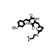 CN(C)CCSc1ccc(C=c2[nH]c(=O)c(=Cc3ccc(C(C)(C)C)cc3)[nH]c2=O)s1